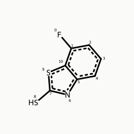 Fc1cccc2nc(S)sc12